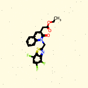 CCOC(=O)Cc1cc2ccccc2n(Cc2nc3c(F)c(F)cc(F)c3s2)c1=O